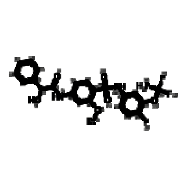 CCOc1cc(NC(=O)[C@@H](O)c2ccccc2)ccc1S(=O)(=O)Nc1ccc(F)c(OC(F)(F)P)c1